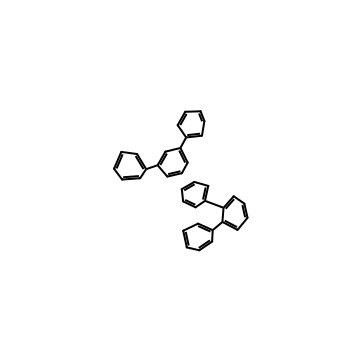 c1ccc(-c2cccc(-c3ccccc3)c2)cc1.c1ccc(-c2ccccc2-c2ccccc2)cc1